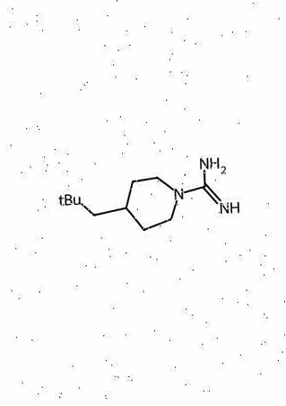 CC(C)(C)CC1CCN(C(=N)N)CC1